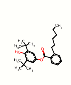 CCCCCCc1ccccc1C(=O)Oc1cc(C(C)(C)C)c(O)c(C(C)(C)C)c1